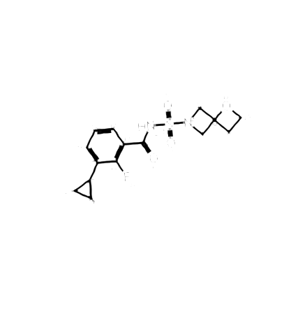 O=C(NS(=O)(=O)N1CC2(CCO2)C1)c1cccc(C2CC2)c1F